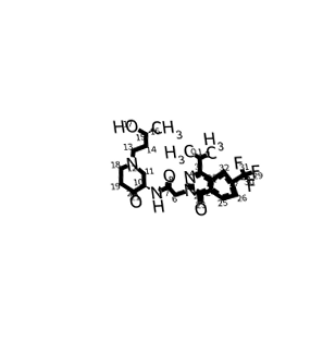 CC(C)c1nn(CC(=O)N[C@H]2CN(CC[C@@H](C)O)CCC2=O)c(=O)c2ccc(C(F)(F)F)cc12